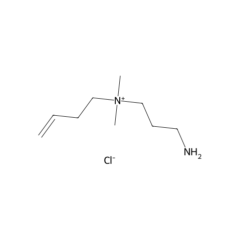 C=CCC[N+](C)(C)CCCN.[Cl-]